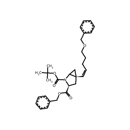 CC(C)(C)OC(=O)N1C2C[C@]2(/C=C\CCCOCc2ccccc2)C[C@H]1C(=O)OCc1ccccc1